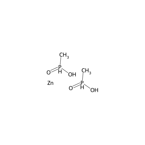 C[PH](=O)O.C[PH](=O)O.[Zn]